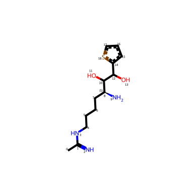 CC(=N)NCCCC[C@H](N)C(O)C(O)c1cccs1